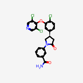 NC(=O)c1cccc(N2C[C@@H](c3ccc(Cl)c(Oc4c(Cl)cncc4Cl)c3)CC2=O)c1